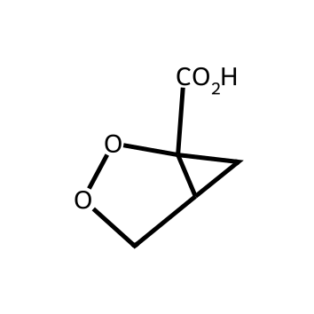 O=C(O)C12CC1COO2